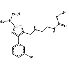 CC(C)(C)OC(=O)NCCNCc1sc(N(C(=O)O)C(C)(C)C)nc1-c1cccc(Br)c1